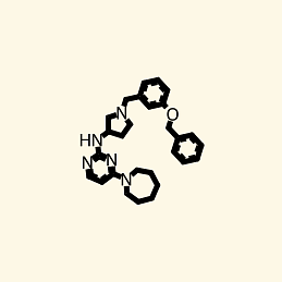 c1ccc(COc2cccc(CN3CCC(Nc4nccc(N5CCCCCC5)n4)C3)c2)cc1